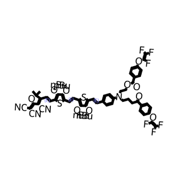 CCCCOc1c(/C=C/C2=C(C#N)C(=C(C#N)C#N)OC2(C)C)sc(/C=C/c2sc(/C=C/c3ccc(N(CCCC(=O)c4ccc(OC(F)=C(F)F)cc4)CCOC(=O)c4ccc(OC(F)=C(F)F)cc4)cc3)c(OCCCC)c2OCCCC)c1OCCCC